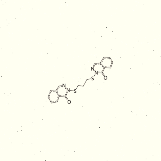 O=c1c2ccccc2cnn1SCCCSn1ncc2ccccc2c1=O